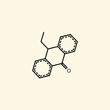 CCC1c2ccccc2C(=O)c2ccccc21